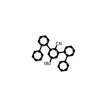 CC(C)(C)c1cc(-c2ccccc2-c2ccccc2)c(C#N)c(-c2ccccc2-c2ccccc2)c1